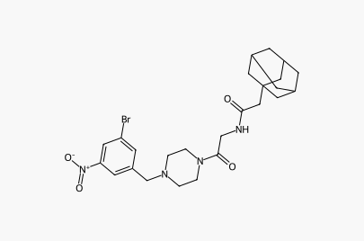 O=C(CC12CC3CC(CC(C3)C1)C2)NCC(=O)N1CCN(Cc2cc(Br)cc([N+](=O)[O-])c2)CC1